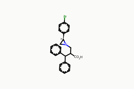 O=C(O)C(CN1C[C@H]1c1ccc(Br)cc1)C(c1ccccc1)c1ccccc1